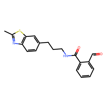 Cc1nc2ccc(CCCNC(=O)c3ccccc3C=O)cc2s1